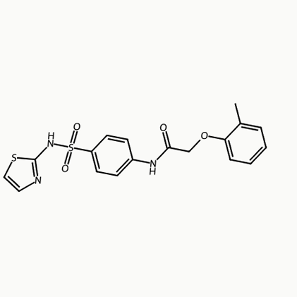 Cc1ccccc1OCC(=O)Nc1ccc(S(=O)(=O)Nc2nccs2)cc1